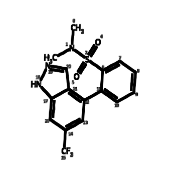 CN(C)S(=O)(=O)c1ccccc1-c1cc(C(F)(F)F)cc2[nH]ncc12